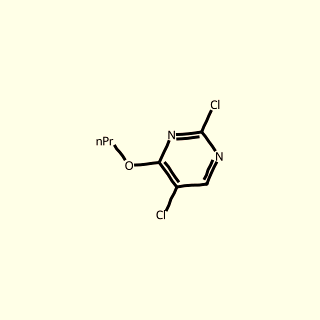 CCCOc1nc(Cl)ncc1Cl